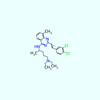 CCN(CC)CCCC(C)Nc1nc(/C=C/c2ccc(Cl)c(Cl)c2)nc2c(C)cccc12